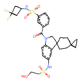 O=C(c1cccc(S(=O)(=O)NC2CC(F)(F)C2)c1)N1CC2(CCC3(CC3)CC2)c2cc(NS(=O)(=O)CCO)ccc21